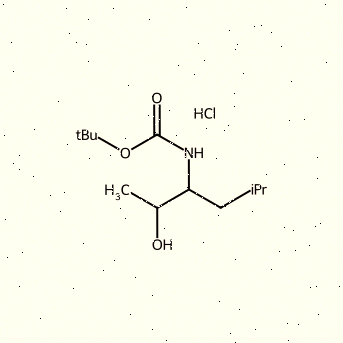 CC(C)CC(NC(=O)OC(C)(C)C)C(C)O.Cl